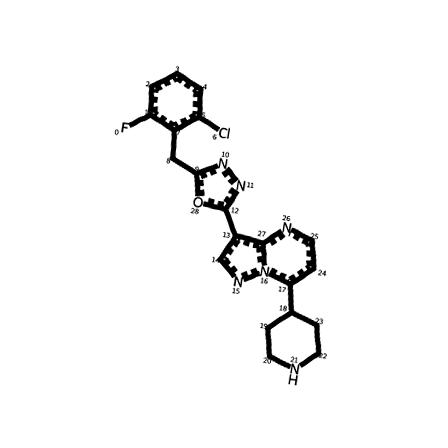 Fc1cccc(Cl)c1Cc1nnc(-c2cnn3c(C4CCNCC4)ccnc23)o1